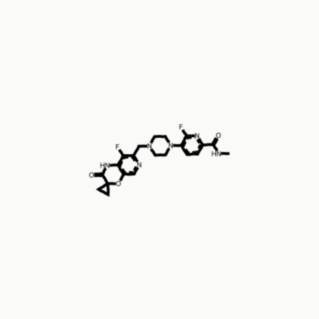 CNC(=O)c1ccc(N2CCN(Cc3ncc4c(c3F)NC(=O)C3(CC3)O4)CC2)c(F)n1